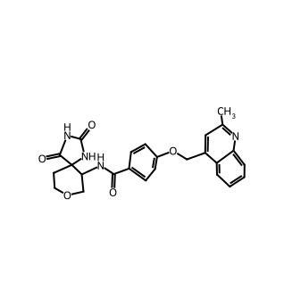 Cc1cc(COc2ccc(C(=O)NC3COCCC34NC(=O)NC4=O)cc2)c2ccccc2n1